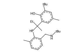 CCC(C)(Pc1c(C)cccc1CNC(C)(C)C)c1cc(C)cc(C(C)(C)C)c1O